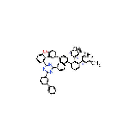 C=C/C=C(\C=C)c1cccc(-c2ccc(-c3ccc4oc5cccc(-c6nc(-c7ccccc7)nc(-c7cccc(-c8ccccc8)c7)n6)c5c4c3)cc2)c1C(/C=C\C)=C/C